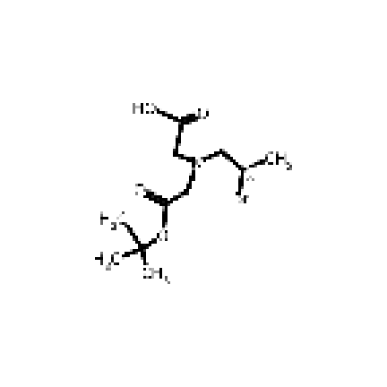 C[C@@H](Br)CN(CC(=O)O)CC(=O)OC(C)(C)C